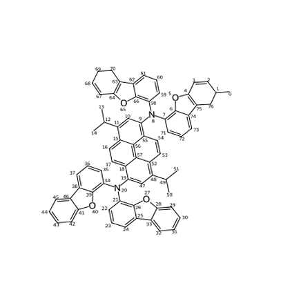 CC1C=Cc2oc3c(N(c4cc(C(C)C)c5ccc6c(N(c7cccc8c7oc7ccccc78)c7cccc8c7oc7ccccc78)cc(C(C)C)c7ccc4c5c76)c4cccc5c6c(oc45)C=CCC6)cccc3c2C1